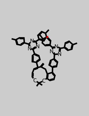 C=C1Cc2c(cccc2-c2ccc(-c3nc(C4=CCC(C)C=C4)nc(-c4ccc(C)cc4)n3)cc2)CC(C)(C)C/C=C\C=C/1c1ccc(-c2nc(C3=CCC(C)C=C3)nc(-c3ccc(C)cc3)n2)cc1